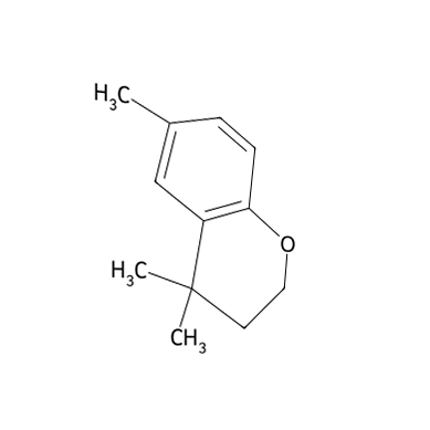 Cc1ccc2c(c1)C(C)(C)CCO2